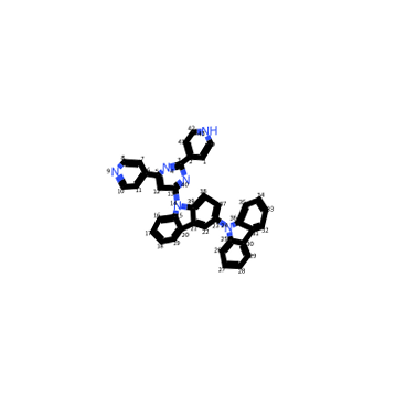 C1=CC(c2nc(-c3ccncc3)cc(-n3c4ccccc4c4cc(-n5c6ccccc6c6ccccc65)ccc43)n2)=CCN1